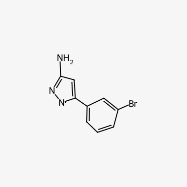 NC1=N[N]C(c2cccc(Br)c2)=C1